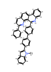 CCn1c(-c2ccc(-c3ccc(-c4nc5ccccc5c5ccc6ccc(-c7ccccc7)nc6c45)cc3)cc2)cc2ccccc21